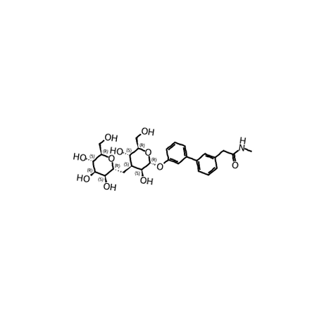 CNC(=O)Cc1cccc(-c2cccc(O[C@H]3O[C@H](CO)[C@@H](O)[C@H](C[C@H]4O[C@H](CO)[C@@H](O)[C@H](O)[C@@H]4O)[C@@H]3O)c2)c1